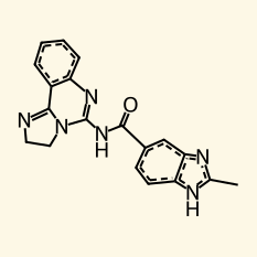 Cc1nc2cc(C(=O)NC3=Nc4ccccc4C4=NCCN34)ccc2[nH]1